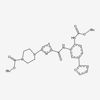 CC(C)(C)OC(=O)Nc1ccc(-c2ccco2)cc1NC(=O)c1nc(N2CCN(C(=O)OC(C)(C)C)CC2)cs1